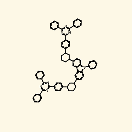 c1ccc(-c2nc(-c3ccccc3)nc(-c3ccc(C4CCCC(c5ccc6c(c5)c5cc(C7CCCC(c8ccc(-c9nc(-c%10ccccc%10)nc(-c%10ccccc%10)n9)cc8)C7)ccc5n6-c5ccccc5)C4)cc3)n2)cc1